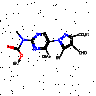 CCOC(=O)c1nn(-c2cnc(N(C)C(=O)OC(C)(C)C)nc2OC)c(C(C)C)c1C=O